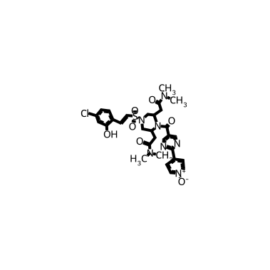 CN(C)C(=O)CC1CN(S(=O)(=O)/C=C/c2ccc(Cl)cc2O)CC(CC(=O)N(C)C)N1C(=O)c1cnc(-c2cc[n+]([O-])cc2)nc1